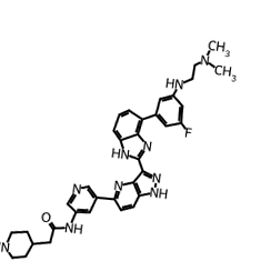 CN(C)CCNc1cc(F)cc(-c2cccc3[nH]c(-c4n[nH]c5ccc(-c6cncc(NC(=O)CC7CCNCC7)c6)nc45)nc23)c1